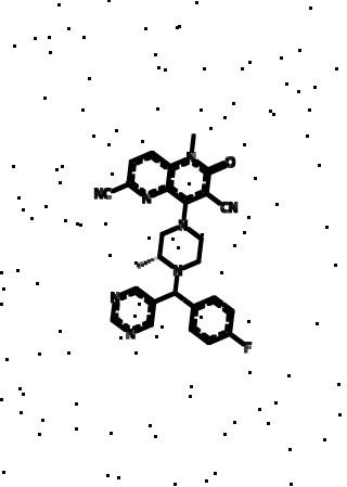 C[C@@H]1CN(c2c(C#N)c(=O)n(C)c3ccc(C#N)nc23)CCN1C(c1ccc(F)cc1)c1cncnc1